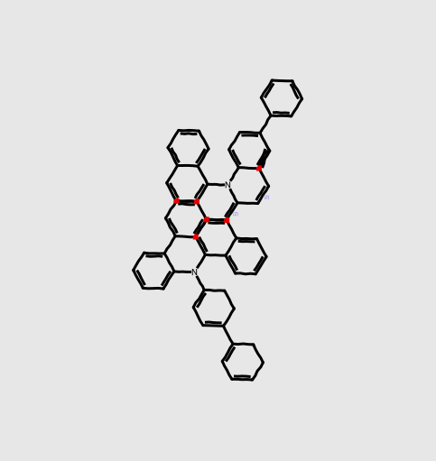 C=C/C=C\C(=C\c1cccc(-c2ccccc2N(C2=CC=C(C3=CC=CCC3)CC2)c2cccc3ccccc23)c1)N(c1ccc(-c2ccccc2)cc1)c1cccc2ccccc12